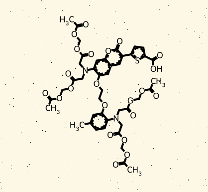 CC(=O)OCOC(=O)CN(CC(=O)OCOC(C)=O)c1ccc(C)cc1OCCOc1cc2cc(-c3ccc(C(=O)O)s3)c(=O)oc2cc1N(CC(=O)OCOC(C)=O)CC(=O)OCOC(C)=O